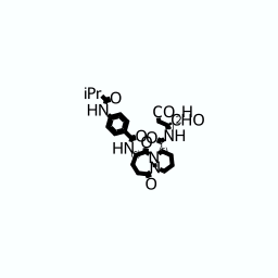 CC(C)C(=O)Nc1ccc(C(=O)N[C@H]2CCC(=O)N3CCC[C@@H](C(=O)N[C@H](C=O)CC(=O)O)N3C2=O)cc1